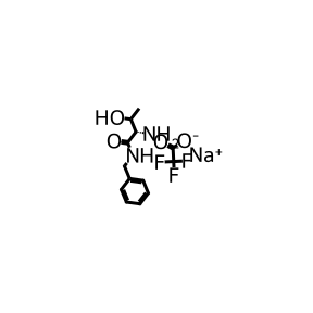 CC(O)[C@H](N)C(=O)NCc1ccccc1.O=C([O-])C(F)(F)F.[Na+]